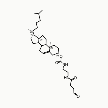 CC(C)CCC[C@@H](C)[C@H]1CCC2C3CC=C4C[C@@H](OC(=O)NCCNC(=O)CCC=O)CC[C@]4(C)C3CC[C@@]21C